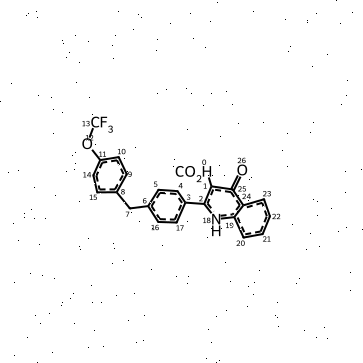 O=C(O)c1c(-c2ccc(Cc3ccc(OC(F)(F)F)cc3)cc2)[nH]c2ccccc2c1=O